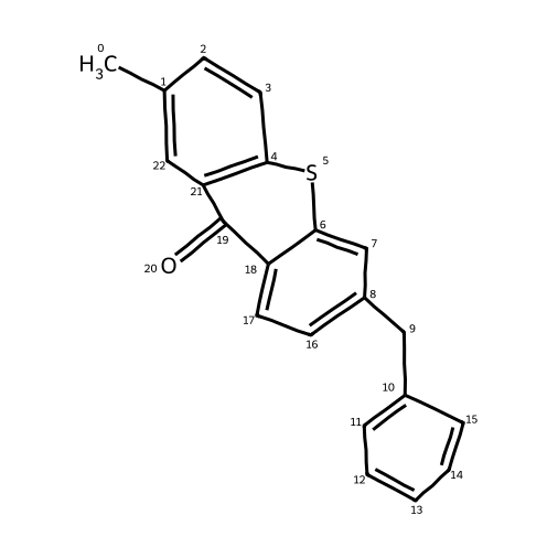 Cc1ccc2sc3cc(Cc4ccccc4)ccc3c(=O)c2c1